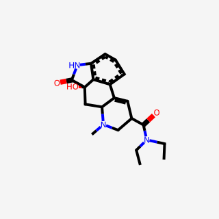 CCN(CC)C(=O)C1C=C2c3cccc4c3C(O)(CC2N(C)C1)C(=O)N4